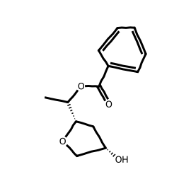 CC(OC(=O)c1ccccc1)[C@@H]1C[C@H](O)CO1